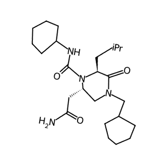 CC(C)C[C@H]1C(=O)N(CC2CCCCC2)C[C@H](CC(N)=O)N1C(=O)NC1CCCCC1